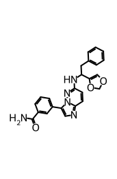 NC(=O)c1cccc(-c2cnc3ccc(NC(Cc4ccccc4)C4=COCO4)nn23)c1